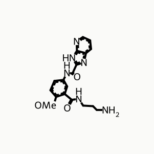 COc1ccc(NC(=O)c2nc3cccnc3[nH]2)cc1C(=O)NCCCN